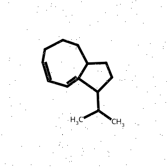 CC(C)C1CCC2CCCC=CC=C21